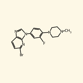 CN1CCN(c2ccc(-n3cnc4ccc(Br)nc43)cc2F)CC1